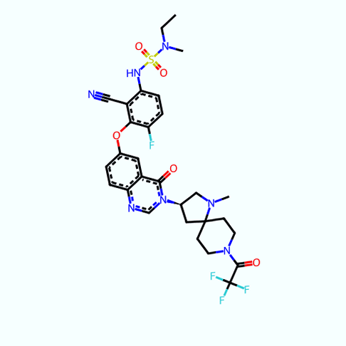 CCN(C)S(=O)(=O)Nc1ccc(F)c(Oc2ccc3ncn([C@H]4CN(C)C5(CCN(C(=O)C(F)(F)F)CC5)C4)c(=O)c3c2)c1C#N